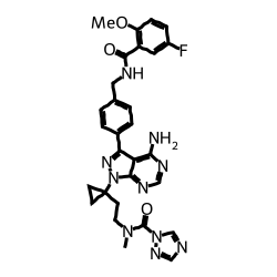 COc1ccc(F)cc1C(=O)NCc1ccc(-c2nn(C3(CCN(C)C(=O)n4cncn4)CC3)c3ncnc(N)c23)cc1